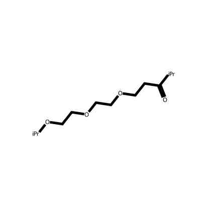 CC(C)OCCOCCOCCC(=O)C(C)C